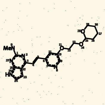 CNc1nc(/C=C/c2cncc(OCCOC3CCCCO3)c2)c2cc[nH]c2n1